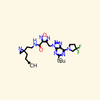 C#CCCC1(CCNC(=O)c2nonc2Cn2nnc3c(N4CCC(F)(F)C4)nc(C(C)(C)C)nc32)C=N1